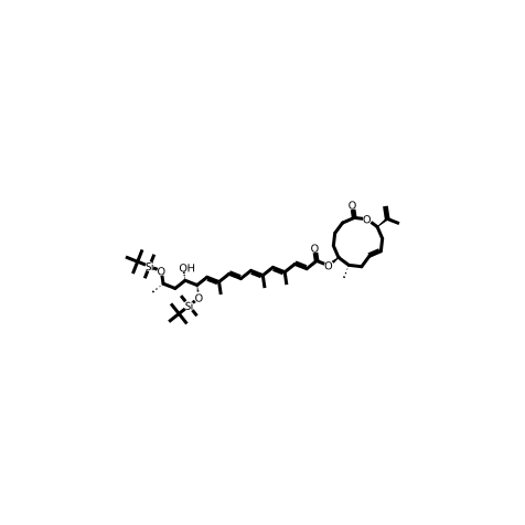 C=C(C)[C@H]1C/C=C/C[C@H](C)[C@@H](OC(=O)/C=C/C(C)=C/C(C)=C/C=C/C(C)=C/[C@H](O[Si](C)(C)C(C)(C)C)[C@@H](O)C[C@H](C)O[Si](C)(C)C(C)(C)C)CCCC(=O)O1